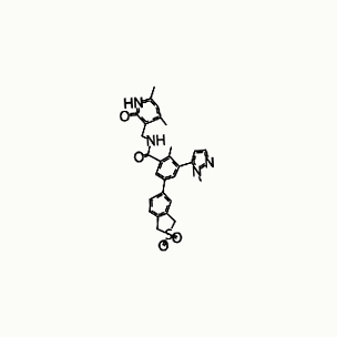 Cc1cc(C)c(CNC(=O)c2cc(-c3ccc4c(c3)CS(=O)(=O)C4)cc(-c3ccnn3C)c2C)c(=O)[nH]1